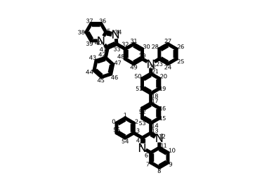 c1ccc(-c2nc3ccccc3nc2-c2ccc(-c3ccc(N(c4ccccc4)c4ccc(-c5nc6ccccn6c5-c5ccccc5)cc4)cc3)cc2)cc1